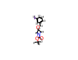 CC(C)(C)OC(=O)N1CC(OCc2cccc(I)c2)C1